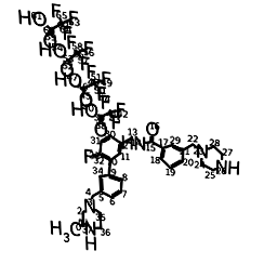 C[C@H]1CN(Cc2cccc(-c3cc(CNC(=O)c4cccc(CN5CCNCC5)c4)ccc3F)c2)CCN1.O=C(O)C(F)(F)F.O=C(O)C(F)(F)F.O=C(O)C(F)(F)F.O=C(O)C(F)(F)F